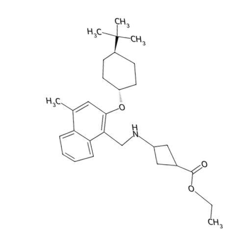 CCOC(=O)C1CC(NCc2c(O[C@H]3CC[C@H](C(C)(C)C)CC3)cc(C)c3ccccc23)C1